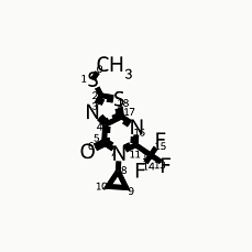 CSc1nc2c(=O)n(C3CC3)c(C(F)(F)F)nc2s1